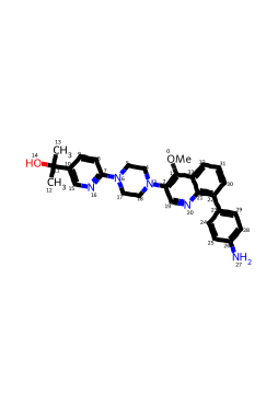 COc1c(N2CCN(c3ccc(C(C)(C)O)cn3)CC2)cnc2c(-c3ccc(N)cc3)cccc12